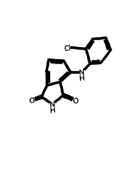 O=C1NC(=O)c2c(Nc3ccccc3Cl)cccc21